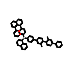 Cc1cc(-c2ccccc2)ccc1-c1ccc(-c2ccc(N(c3ccc(-c4cccc5cccc(-c6ccccc6)c45)cc3)c3cccc4ccccc34)cc2)cc1C